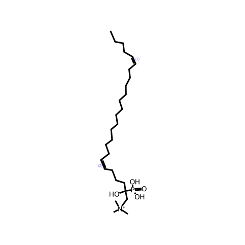 CCCC/C=C\CCCCCCCCCCCC/C=C\CCCC(O)(C[N+](C)(C)C)P(=O)(O)O